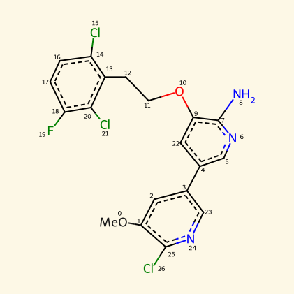 COc1cc(-c2cnc(N)c(OCCc3c(Cl)ccc(F)c3Cl)c2)cnc1Cl